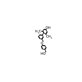 Cc1cc(O)cc(C)c1-c1cccc(COc2ccc(CO)cc2)c1